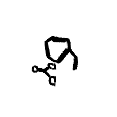 C=Cc1ccccc1.O=C(Cl)Cl